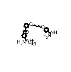 Cl.Cl.N=C(N)c1ccc(OCCCCCOc2cccc(-c3cc4ccc(C(=N)N)cc4o3)c2)cc1